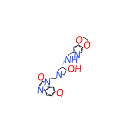 COc1ccc2ncc(=O)n(CCN3C[C@H](CNCc4cc5c(cn4)OCCO5)[C@H](O)C3)c2c1